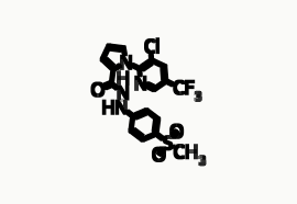 CS(=O)(=O)c1ccc(NNC(=O)c2cccn2-c2ncc(C(F)(F)F)cc2Cl)cc1